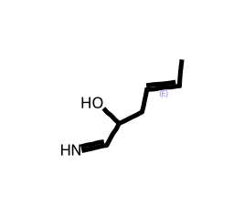 C/C=C/CC(O)C=N